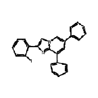 Ic1ccccc1-c1cn2cc(-c3ccccc3)cc(-c3ccccc3)c2n1